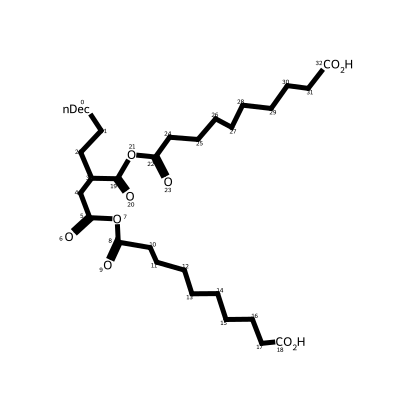 CCCCCCCCCCCCC(CC(=O)OC(=O)CCCCCCCCC(=O)O)C(=O)OC(=O)CCCCCCCCC(=O)O